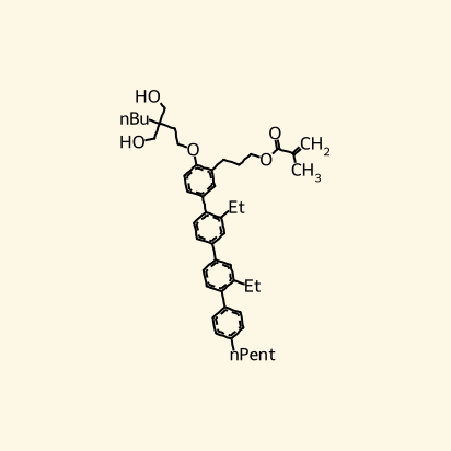 C=C(C)C(=O)OCCCc1cc(-c2ccc(-c3ccc(-c4ccc(CCCCC)cc4)c(CC)c3)cc2CC)ccc1OCCC(CO)(CO)CCCC